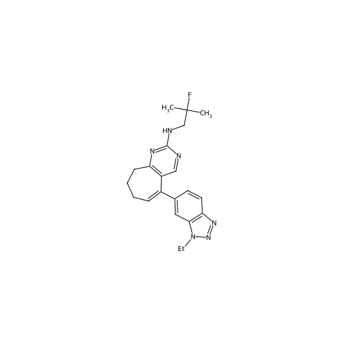 CCn1nnc2ccc(C3=CCCCc4nc(NCC(C)(C)F)ncc43)cc21